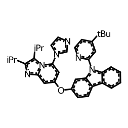 CC(C)c1nc2cc(Oc3ccc4c5ccccc5n(-c5cc(C(C)(C)C)ccn5)c4c3)cc(-n3ccnc3)n2c1C(C)C